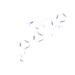 CC(=O)NCc1cccc(-c2ccc(OC(F)(F)F)c(C(=O)NC(CC#N)Cc3c[nH]c4ccccc34)c2)c1